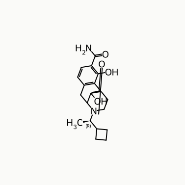 C[C@H](C1CCC1)N1CCC23CC(=O)CCC2(O)C1Cc1ccc(C(N)=O)c(O)c13